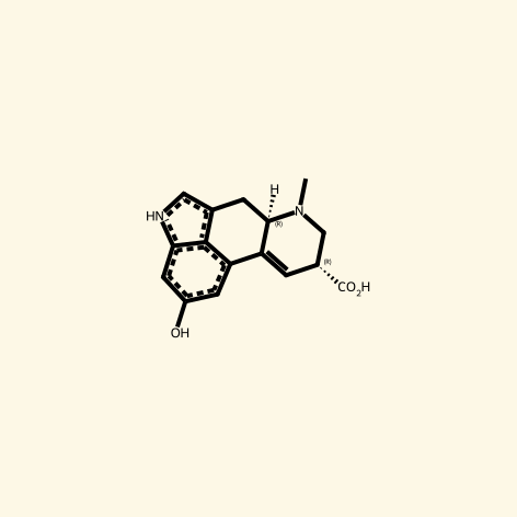 CN1C[C@H](C(=O)O)C=C2c3cc(O)cc4[nH]cc(c34)C[C@H]21